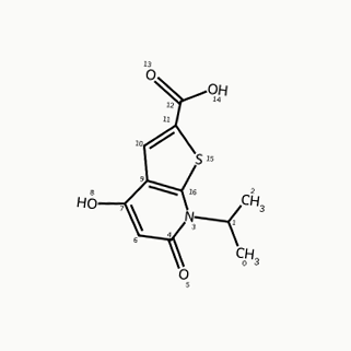 CC(C)n1c(=O)cc(O)c2cc(C(=O)O)sc21